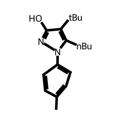 CCCCc1c(C(C)(C)C)c(O)nn1-c1ccc(C)cc1